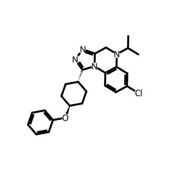 CC(C)N1Cc2nnc([C@H]3CC[C@H](Oc4ccccc4)CC3)n2-c2ccc(Cl)cc21